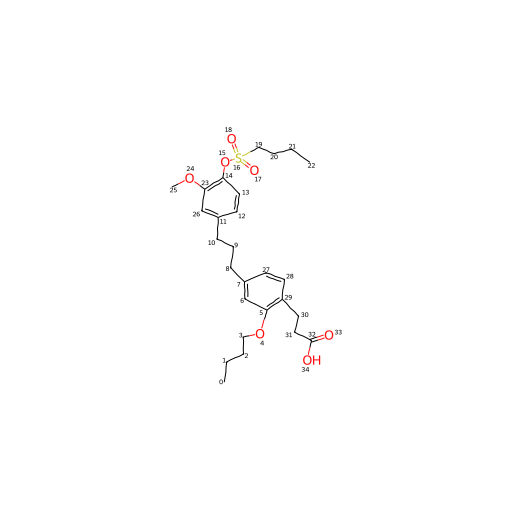 CCCCOc1cc(CCCc2ccc(OS(=O)(=O)CCCC)c(OC)c2)ccc1CCC(=O)O